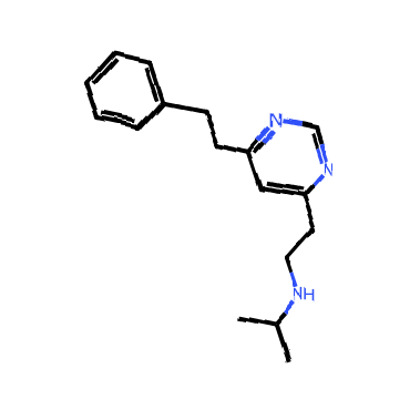 CC(C)NCCc1cc(CCc2ccccc2)ncn1